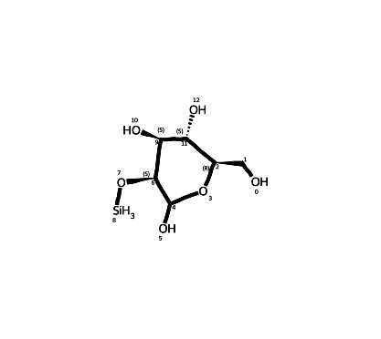 OC[C@H]1OC(O)[C@@H](O[SiH3])[C@@H](O)[C@@H]1O